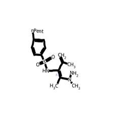 C=C(C)/C(NS(=O)(=O)c1ccc(CCCCC)cc1)=C(/C)N(C)N